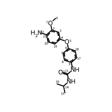 COc1cc(Oc2ccc(NC(=O)NC(C)C)cc2)ccc1N